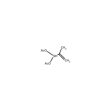 C=C(C)[SiH](OC(C)=O)OC(C)=O